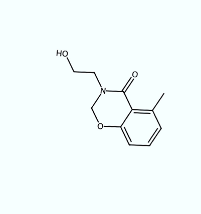 Cc1cccc2c1C(=O)N(CCO)CO2